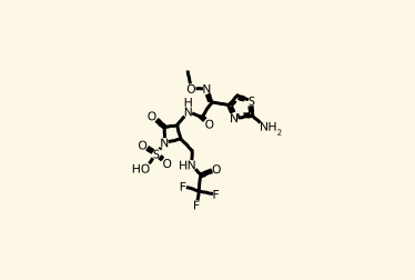 CO/N=C(\C(=O)NC1C(=O)N(S(=O)(=O)O)C1CNC(=O)C(F)(F)F)c1csc(N)n1